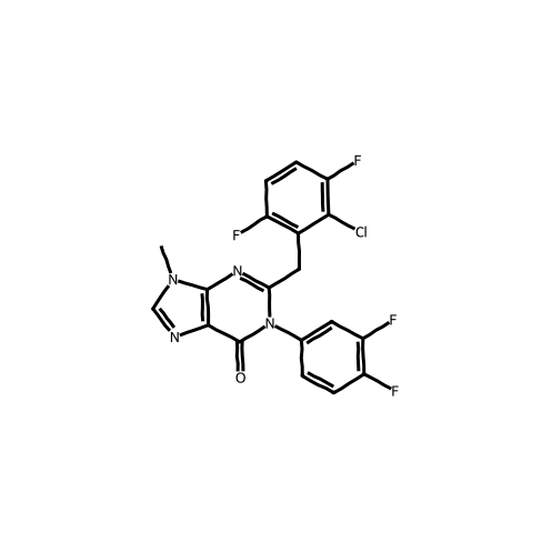 Cn1cnc2c(=O)n(-c3ccc(F)c(F)c3)c(Cc3c(F)ccc(F)c3Cl)nc21